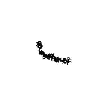 O=C(CN1CCc2c(Oc3ccc(CNc4ccc(C(F)(F)F)cc4)cn3)cccc21)N1CCN(Cc2ccc3c(c2)OCO3)CC1